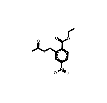 CCOC(=O)c1ccc([N+](=O)[O-])cc1CSC(C)=O